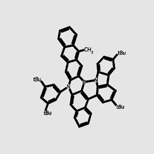 Cc1c2ccccc2cc2cc3c(cc12)B1c2c(cc4ccccc4c2-c2cc(C(C)(C)C)cc4c5cc(C(C)(C)C)ccc5n1c24)N3c1cc(C(C)(C)C)cc(C(C)(C)C)c1